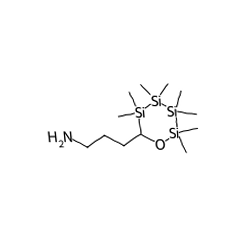 C[Si]1(C)OC(CCCN)[Si](C)(C)[Si](C)(C)[Si]1(C)C